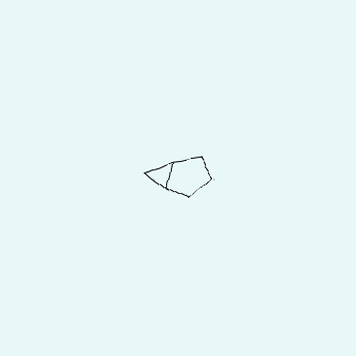 [CH]1CC2CC2C1